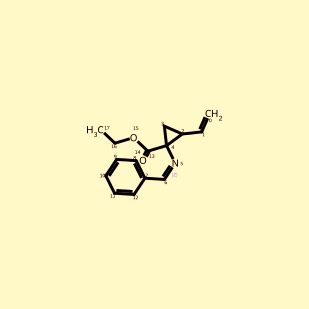 C=CC1CC1(/N=C\c1ccccc1)C(=O)OCC